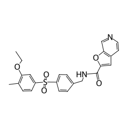 CCOc1cc(S(=O)(=O)c2ccc(CNC(=O)c3cc4ccncc4o3)cc2)ccc1C